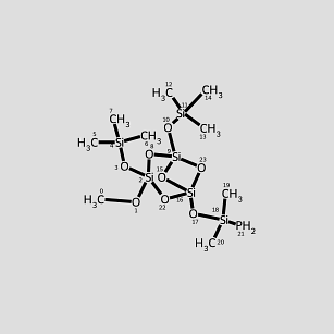 CO[Si]1(O[Si](C)(C)C)O[Si]2(O[Si](C)(C)C)O[Si](O[Si](C)(C)P)(O1)O2